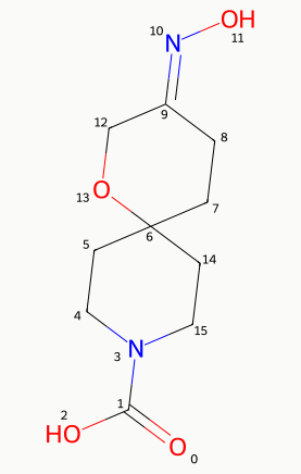 O=C(O)N1CCC2(CCC(=NO)CO2)CC1